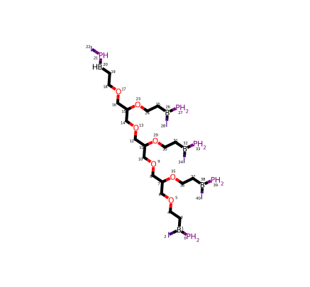 PB(I)CCOCC(COCC(COCC(COCCBPI)OCCB(P)I)OCCB(P)I)OCCB(P)I